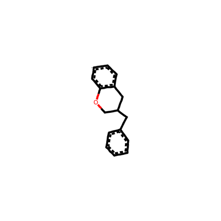 [c]1ccc2c(c1)OCC(Cc1ccccc1)C2